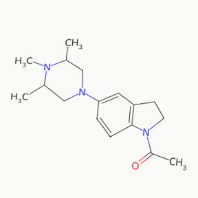 CC(=O)N1CCc2cc(N3CC(C)N(C)C(C)C3)ccc21